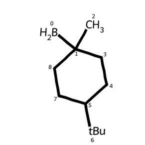 BC1(C)CCC(C(C)(C)C)CC1